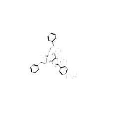 O=c1c2[nH]c(-c3ccc(O)cc3)nc2n(CCc2ccccc2)c(=O)n1CCc1ccccc1